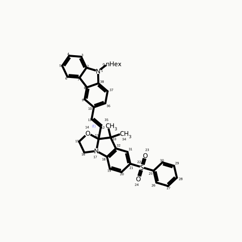 CCCCCCn1c2ccccc2c2cc(/C=C/C34OCCN3c3ccc(S(=O)(=O)c5ccccc5)cc3C4(C)C)ccc21